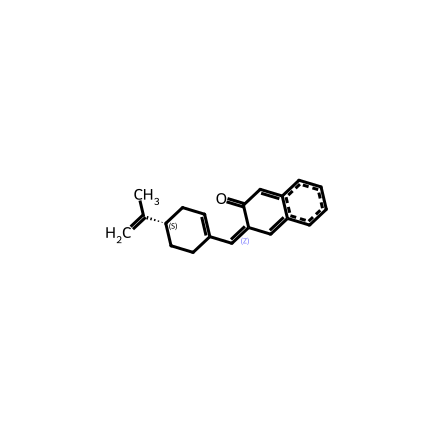 C=C(C)[C@@H]1CC=C(/C=C2/C=c3ccccc3=CC2=O)CC1